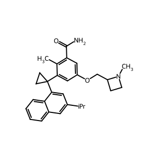 Cc1c(C(N)=O)cc(OCC2CCN2C)cc1C1(c2cc(C(C)C)cc3ccccc23)CC1